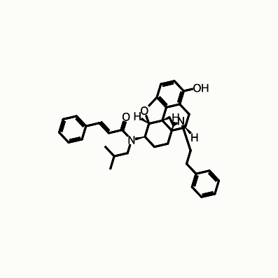 CC(C)CN(C(=O)C=Cc1ccccc1)[C@@H]1CC[C@H]2[C@H]3Cc4c(O)ccc5c4[C@@]2(CCN3CCc2ccccc2)[C@H]1O5